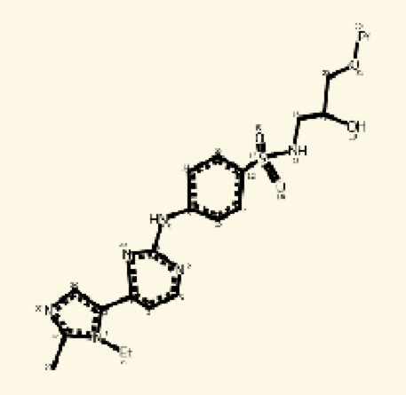 CCn1c(-c2ccnc(Nc3ccc(S(=O)(=O)NCC(O)COC(C)C)cc3)n2)cnc1C